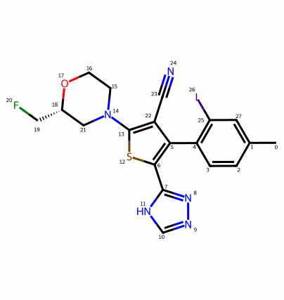 Cc1ccc(-c2c(-c3nnc[nH]3)sc(N3CCO[C@@H](CF)C3)c2C#N)c(I)c1